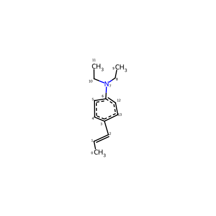 CC=Cc1ccc(N(CC)CC)cc1